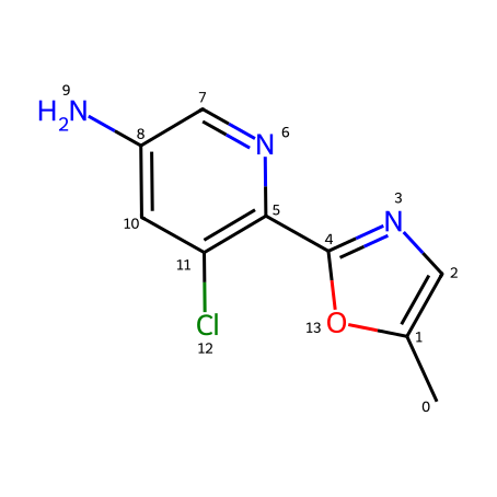 Cc1cnc(-c2ncc(N)cc2Cl)o1